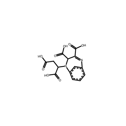 O=C(O)CC(C(=O)O)N1c2cccc(c2)N=C(C(=O)O)C1C(=O)O